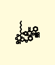 CCCCCCC(C(=O)N1C[C@@H](Oc2cccnc2)C[C@H]1C(=O)O)n1cnc(NC(=O)c2ccccc2S(=O)(=O)O)c1